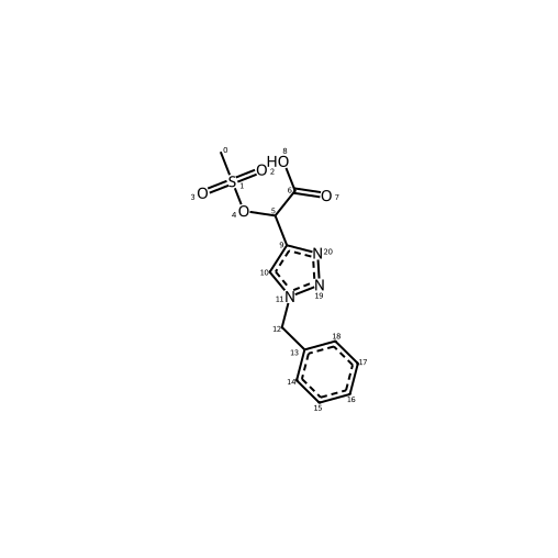 CS(=O)(=O)OC(C(=O)O)c1cn(Cc2ccccc2)nn1